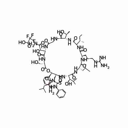 CC[C@H](C)[C@@H]1NC(=O)[C@@H](CCCNC(=N)N)NC(=O)[C@H](CC(C)C)NC(=O)[C@H]([C@H](O)C(C)C)NC(=O)[C@@H](N(C(=O)[C@@H](N)CC(C)C)C(=S)Nc2ccccc2)[C@@H](c2ccccc2)OC(=O)[C@H](CO)NC(=O)[C@H]([C@H](O)C(N)=O)NC(=O)CNC(=O)[C@H]([C@H](C)O)NC1=O.O=C(O)C(F)(F)F